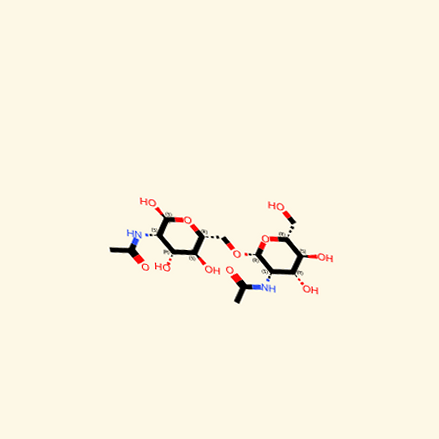 CC(=O)N[C@@H]1[C@H](OC[C@H]2O[C@H](O)[C@@H](NC(C)=O)[C@@H](O)[C@@H]2O)O[C@H](CO)[C@@H](O)[C@@H]1O